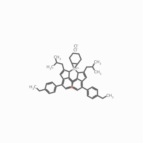 CCc1ccc(-c2cccc3c2C=C(CC(C)C)[CH]3[Zr+2]2([CH]3C(CC(C)C)=Cc4c(-c5ccc(CC)cc5)cccc43)[CH]3CCCC[CH]32)cc1.[Cl-].[Cl-]